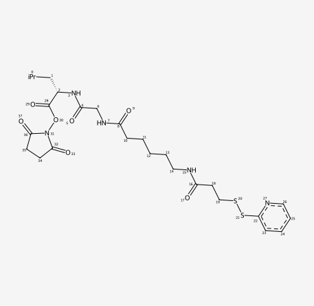 CC(C)C[C@H](NC(=O)CNC(=O)CCCCCNC(=O)CCSSc1ccccn1)C(=O)ON1C(=O)CCC1=O